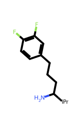 CC(C)C(N)CCCc1ccc(F)c(F)c1